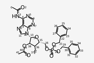 CC(=O)Nc1ncnc2c1ncn2[C@@H]1O[C@H](COP(=O)(OCc2ccccc2)OCc2ccccc2)C(F)C1OC(C)=O